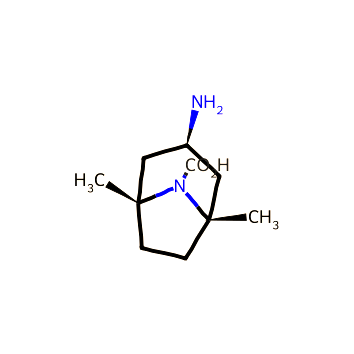 C[C@]12CC[C@](C)(C[C@@H](N)C1)N2C(=O)O